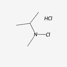 CC(C)N(C)Cl.Cl